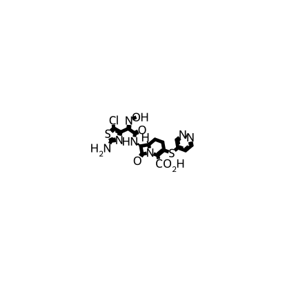 Nc1nc(/C(=N/O)C(=O)N[C@@H]2C(=O)N3C(C(=O)O)=C(Sc4ccnnc4)CC[C@H]23)c(Cl)s1